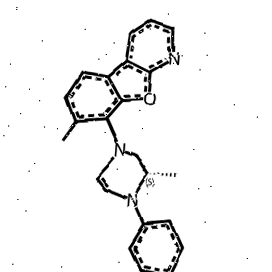 Cc1ccc2c(oc3ncccc32)c1N1C=CN(c2ccccc2)[C@@H](C)C1